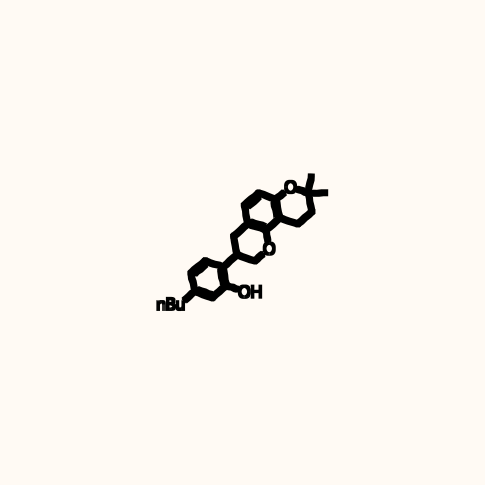 CCCCc1ccc(C2COc3c(ccc4c3CCC(C)(C)O4)C2)c(O)c1